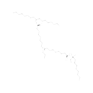 CCCCCCCCC(CCCCCCCC)OC(=O)CCCCCCCN(CCC)CCCCCCCC(=O)OC(C)(CC)CCCCCCCC